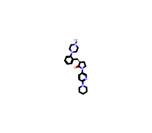 [11CH3]N1CCN(c2ccccc2C[C@H]2CCN(c3ccc(N4CCCCC4)nc3)C2=O)CC1